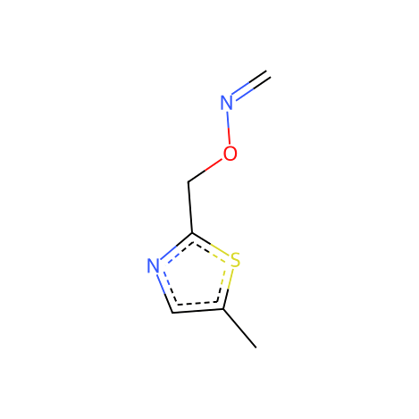 C=NOCc1ncc(C)s1